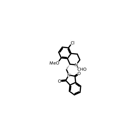 COc1ccc(Cl)c2c1[C@@H](CN1C(=O)c3ccccc3C1=O)N(C=O)CC2